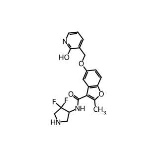 Cc1oc2ccc(OCc3cccnc3O)cc2c1C(=O)NC1CNCC1(F)F